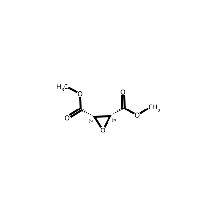 COC(=O)[C@H]1O[C@H]1C(=O)OC